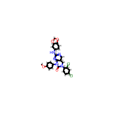 COc1ccc(N2C(=O)N(c3ccc(Cl)cc3Cl)Cc3cnc(Nc4ccc5c(c4)OCO5)nc32)cc1